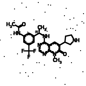 CC(=O)Nc1cc([C@@H](C)Nc2ncnc3c2cc(C2CCNC2)c(=O)n3C)cc(C(F)(F)F)c1